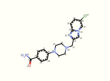 NC(=O)c1ccc(N2CCN(Cc3cn4cc(Cl)ccc4n3)CC2)cc1